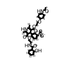 CC(=O)Nc1ccc(OCCOC(=O)C2=C(C)NC(C)=C(C(=O)OCCNC(=O)c3ccccc3O)C2c2cccc([N+](=O)[O-])c2)cc1